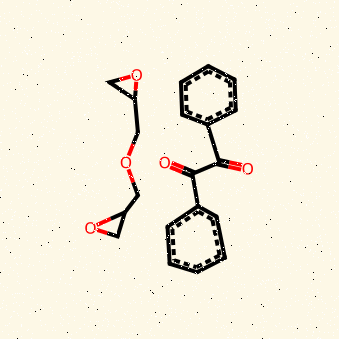 C(OCC1CO1)C1CO1.O=C(C(=O)c1ccccc1)c1ccccc1